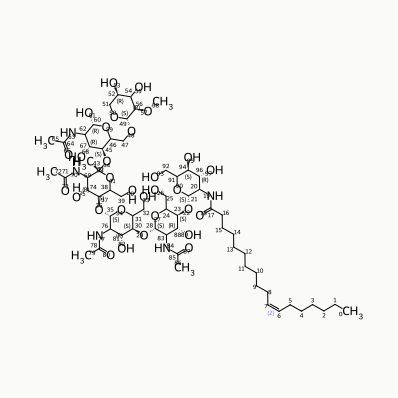 CCCCCC/C=C\CCCCCCCCCC(=O)NC1[C@H](O[C@@H]2C(CO)O[C@@H](O[C@@H]3C(CO)O[C@@H](O[C@@H]4C(CO)O[C@@](C)(O[C@@H]5C(CO[C@@H]6OC[C@@H](O)C(O)[C@H]6OC)O[C@@H](O)C(NC(C)=O)[C@H]5O)C(NC(C)=O)[C@H]4O)C(NC(C)=O)[C@H]3O)C(NC(C)=O)[C@H]2O)OC(CO)[C@@H](O)[C@@H]1O